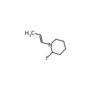 CC=CN1CCCCC1I